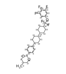 CC1COC(c2ccc(C3CCC(C4CCC(C(F)(F)Oc5cc(F)c(F)c(F)c5)CC4)CC3)cc2)OC1